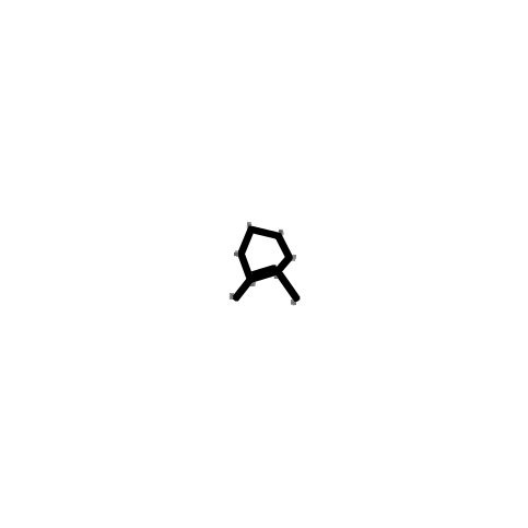 CC1=C(C)CCCC1